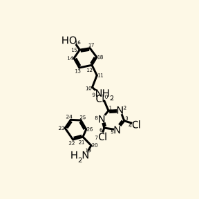 Clc1nc(Cl)nc(Cl)n1.NCCc1ccc(O)cc1.NCc1ccccc1